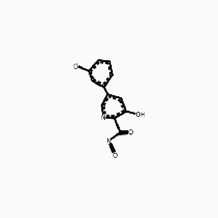 O=NC(=O)c1ncc(-c2cccc(Cl)c2)cc1O